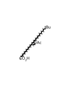 C=COC(C)=O.CC(C)(C)CCCCCCCCCCCCCCCCCCCCCCCCCCC(=O)O